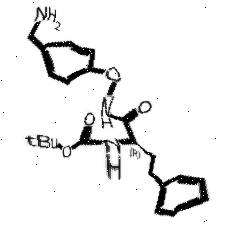 CC(C)(C)OC(=O)N[C@H](CCc1ccccc1)C(=O)NOc1ccc(CN)cc1